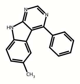 Cc1ccc2[nH]c3ncnc(-c4ccccc4)c3c2c1